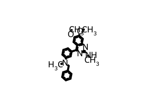 CNc1nc(-c2cccc(N(C)Cc3ccccc3)c2)c2cc(OC)c(OC)cc2n1